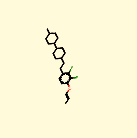 C/C=C/Oc1ccc(CCC2CCC(C3CCC(C)CC3)CC2)c(F)c1F